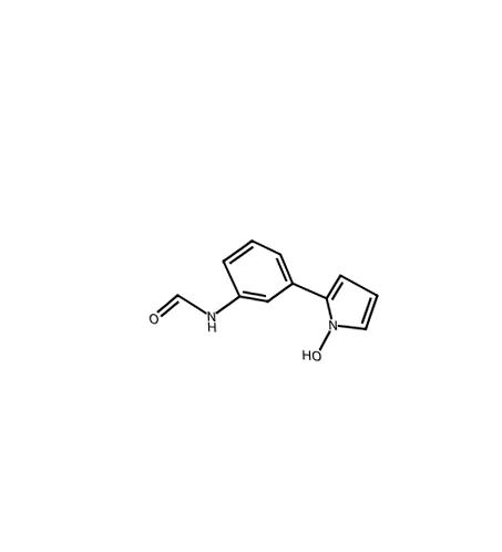 O=CNc1cccc(-c2cccn2O)c1